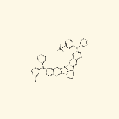 Cc1cccc(N(c2ccccc2)c2ccc3cc4c5cccc6c7cc8ccc(N(c9ccccc9)c9cccc([Si](C)(C)C)c9)cc8cc7n(c4cc3c2)c56)c1